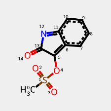 CS(=O)(=O)OC1=c2ccccc2=NC1=O